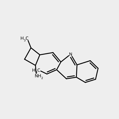 C/C=c1/cc2ccccc2n/c1=C/C1C(C)CC1N